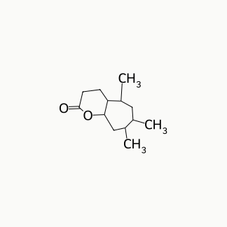 CC1CC(C)C2CCC(=O)OC2CC1C